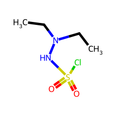 CCN(CC)NS(=O)(=O)Cl